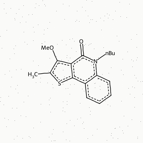 CCCCn1c(=O)c2c(OC)c(C)sc2c2ccccc21